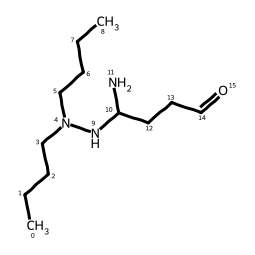 CCCCN(CCCC)NC(N)CCC=O